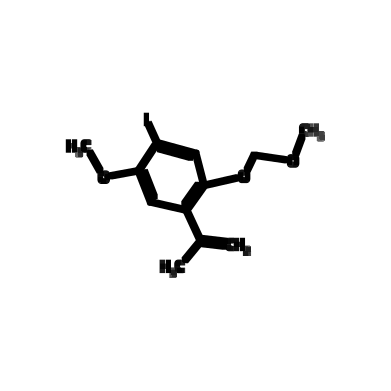 C=C(C)c1cc(OC)c(I)cc1OCOC